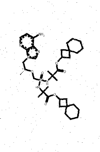 C[C@H](Cn1cnc2c(N)ccnc21)OCP(=O)(NC(C)(C)C(=O)OC1CC2(CCCCC2)C1)NC(C)(C)C(=O)OC1CC2(CCCCC2)C1